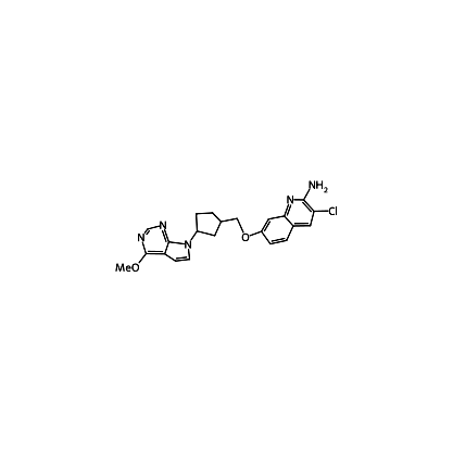 COc1ncnc2c1ccn2C1CCC(COc2ccc3cc(Cl)c(N)nc3c2)C1